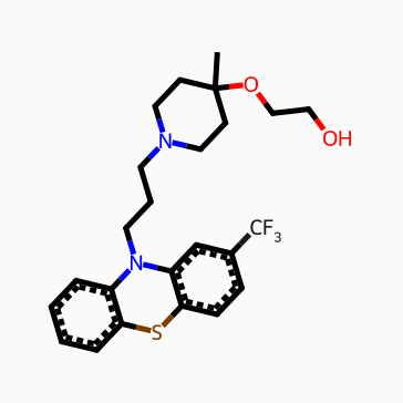 CC1(OCCO)CCN(CCCN2c3ccccc3Sc3ccc(C(F)(F)F)cc32)CC1